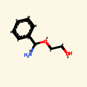 NC(OCCO)c1ccccc1